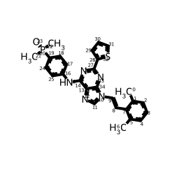 Cc1cccc(C)c1C=Cn1cnc2c(Nc3ccc(P(C)(C)=O)cc3)nc(-c3cccs3)nc21